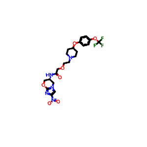 O=C(COCCN1CCC(Oc2ccc(OC(F)(F)F)cc2)CC1)N[C@@H]1COc2nc([N+](=O)[O-])cn2C1